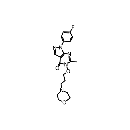 Cc1nc2c(cnn2-c2ccc(F)cc2)c(=O)n1OCCCN1CCOCC1